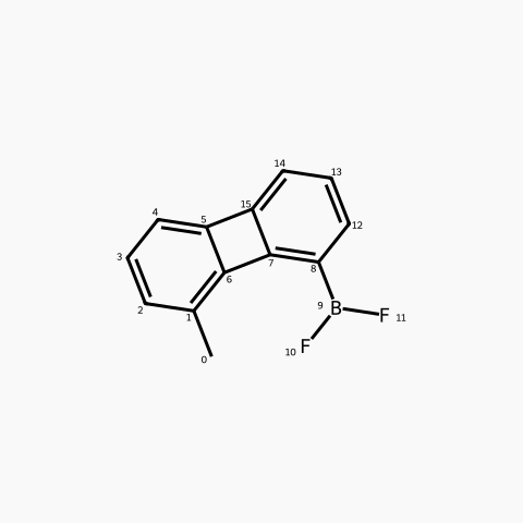 Cc1cccc2c1-c1c(B(F)F)cccc1-2